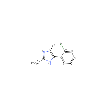 Cc1nc(C(=O)O)[nH]c1-c1ccccc1Cl